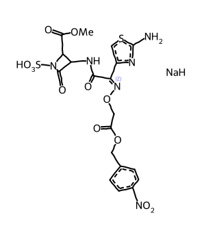 COC(=O)C1C(NC(=O)/C(=N\OCC(=O)OCc2ccc([N+](=O)[O-])cc2)c2csc(N)n2)C(=O)N1S(=O)(=O)O.[NaH]